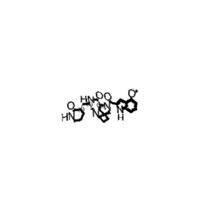 COc1cccc2[nH]c(C(=O)N3CC4(CCC4)C[C@H]3C(=O)N[C@H](C#N)C[C@@H]3CCCNC3=O)cc12